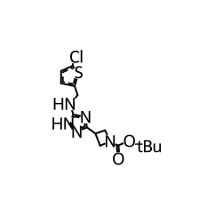 CC(C)(C)OC(=O)N1CC(c2n[nH]c(NCc3ccc(Cl)s3)n2)C1